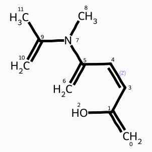 C=C(O)/C=C\C(=C)N(C)C(=C)C